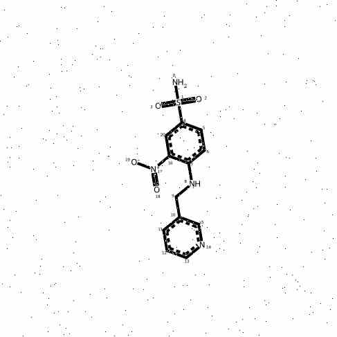 NS(=O)(=O)c1ccc(NCc2cccnc2)c([N+](=O)[O-])c1